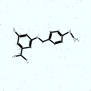 COc1ccc(CSc2cc(F)cc(C(F)F)c2)cc1